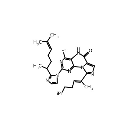 CCc1nc(-n2ccnc2C(C)CCC=C(C)C)nc2c1[nH]c(=O)c1cnc(C(C)=CCCC(C)C)n12